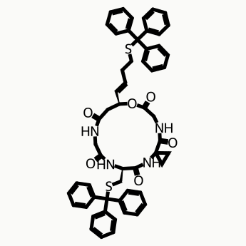 O=C1C[C@@H](C=CCCSC(c2ccccc2)(c2ccccc2)c2ccccc2)OC(=O)CNC(=O)C2(CC2)NC(=O)[C@@H](CSC(c2ccccc2)(c2ccccc2)c2ccccc2)NC(=O)CN1